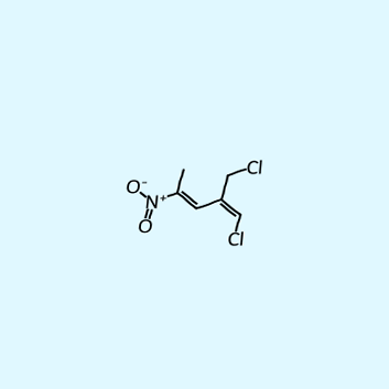 C/C(=C\C(=C/Cl)CCl)[N+](=O)[O-]